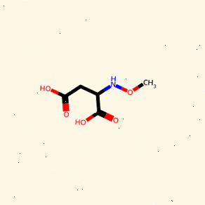 CONC(CC(=O)O)C(=O)O